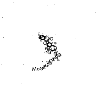 CNC(=O)c1c(-c2ccc(F)cc2)oc2cc3c(cc12)[C@H](C)O[C@H](COC(=O)N(C)CCOCCOCCOC)CN3S(C)(=O)=O